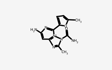 Cc1ccc(-c2nc(N)cc3nc(C)n(C(N)=O)[n+]23)o1